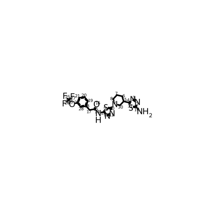 Nc1nnc(C2CCCN(c3nnc(NC(=O)Cc4cccc(OC(F)(F)F)c4)s3)C2)s1